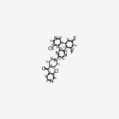 O=C(c1ccncc1Cl)N1CCN(c2cnc(-c3ccc(F)cc3F)c(-c3ccncc3Cl)n2)CC1